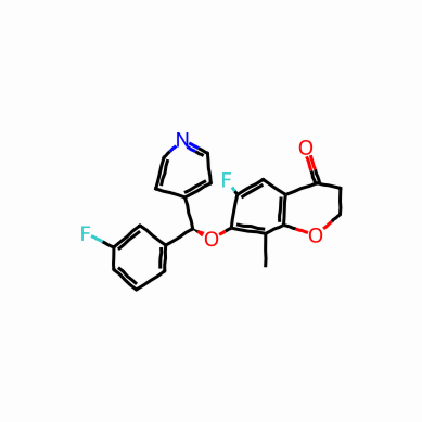 Cc1c(O[C@H](c2ccncc2)c2cccc(F)c2)c(F)cc2c1OCCC2=O